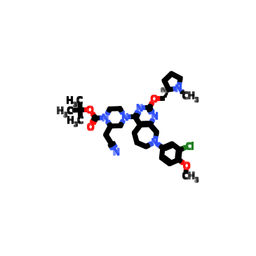 COc1ccc(N2CCCc3c(nc(OC[C@@H]4CCCN4C)nc3N3CCN(C(=O)OC(C)(C)C)C(CC#N)C3)C2)cc1Cl